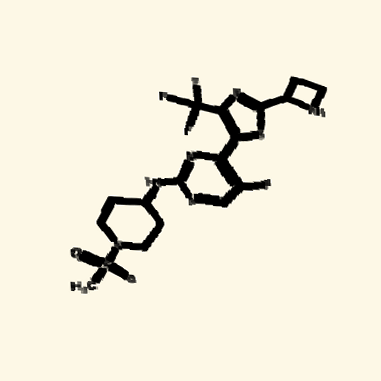 CS(=O)(=O)N1CCC(Nc2ncc(F)c(-c3sc(C4CCN4)nc3C(F)(F)F)n2)CC1